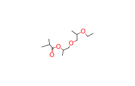 CCOC(C)COCC(C)OC(=O)C(C)C